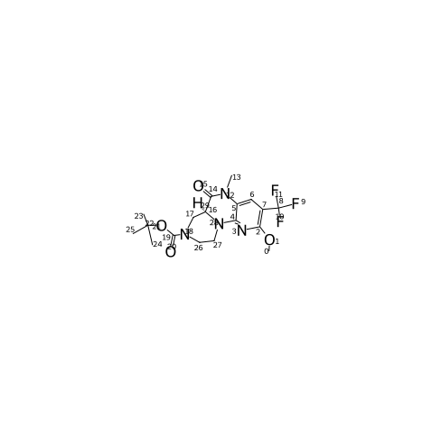 COc1nc2c(cc1C(F)(F)F)N(C)C(=O)[C@@H]1CN(C(=O)OC(C)(C)C)CCN21